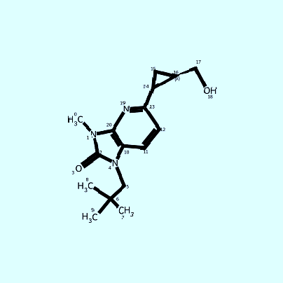 Cn1c(=O)n(CC(C)(C)C)c2ccc(C3C[C@H]3CO)nc21